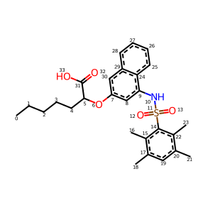 CCCCCC(Oc1cc(NS(=O)(=O)c2c(C)c(C)cc(C)c2C)c2ccccc2c1)C(=O)O